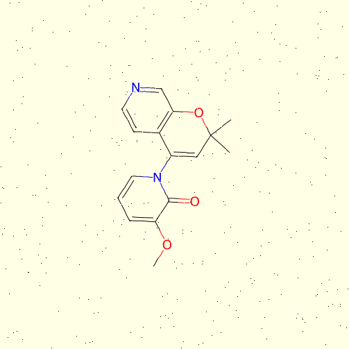 COc1cccn(C2=CC(C)(C)Oc3cnccc32)c1=O